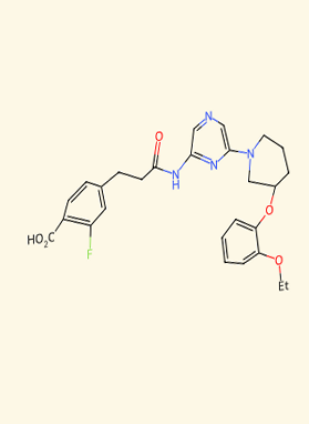 CCOc1ccccc1OC1CCCN(c2cncc(NC(=O)CCc3ccc(C(=O)O)c(F)c3)n2)C1